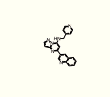 c1ccc2ncc(-c3cc(NCc4ccncc4)n4nccc4n3)cc2c1